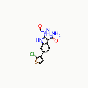 NC(=O)c1c(N(N)C=O)[nH]c2cc(-c3ccsc3Cl)ccc12